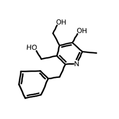 Cc1nc(Cc2ccccc2)c(CO)c(CO)c1O